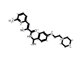 CCCC(NC(=O)/C(C#N)=C/c1cccc(C)n1)c1ccc(OCCN2CCOCC2)cc1